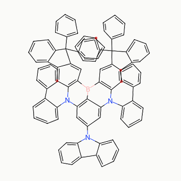 c1ccc(-c2ccccc2N2c3cc4c(cc3B3c5cc6c(cc5N(c5ccccc5-c5ccccc5)c5cc(-n7c8ccccc8c8ccccc87)cc2c53)-c2ccccc2C6(c2ccccc2)c2ccccc2)C(c2ccccc2)(c2ccccc2)c2ccccc2-4)cc1